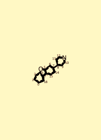 [c]1ccc2oc3cc(-c4ccncc4)ccc3c2c1